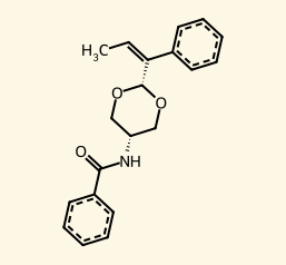 C/C=C(/c1ccccc1)[C@H]1OC[C@@H](NC(=O)c2ccccc2)CO1